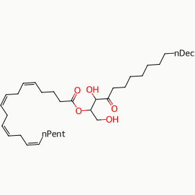 CCCCC/C=C\C/C=C\C/C=C\C/C=C\CCCC(=O)OC(CO)C(O)C(=O)CCCCCCCCCCCCCCCCC